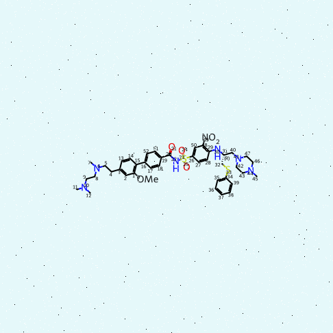 COc1cc(CCN(C)CCN(C)C)ccc1-c1ccc(C(=O)NS(=O)(=O)c2ccc(N[C@@H](CSc3ccccc3)CN3CCN(C)CC3)c([N+](=O)[O-])c2)cc1